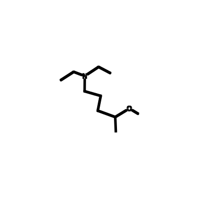 CCN(CC)CCCC(C)OC